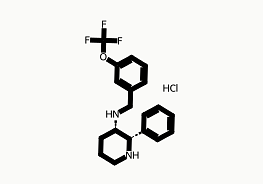 Cl.FC(F)(F)Oc1cccc(CN[C@H]2CCCN[C@H]2c2ccccc2)c1